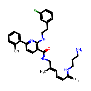 C=C(/C=C\C=C(/C)CNC(=O)c1ccc(-c2ccccc2C#N)nc1NCCc1cccc(F)c1)NCCCN